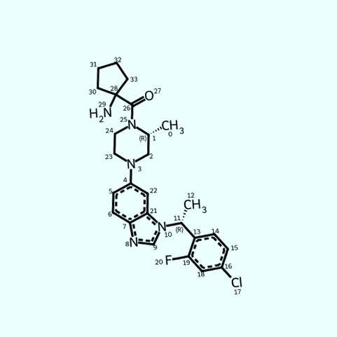 C[C@@H]1CN(c2ccc3ncn([C@H](C)c4ccc(Cl)cc4F)c3c2)CCN1C(=O)C1(N)CCCC1